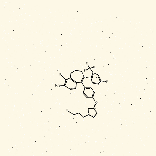 Oc1ccc2c(c1F)CCCC(c1ccc(F)cc1C(F)(F)F)=C2c1ccc(O[C@H]2CCN(CCCF)C2)cc1